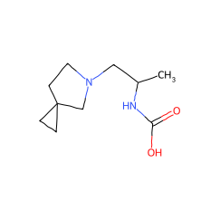 CC(CN1CCC2(CC2)C1)NC(=O)O